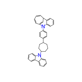 C1=CC2=CC(C=C1)c1ccccc1N2c1ccc(C2CCCC(n3c4ccccc4c4ccccc43)CC2)cc1